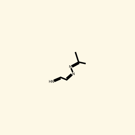 CC(C)=N/N=C\C=N